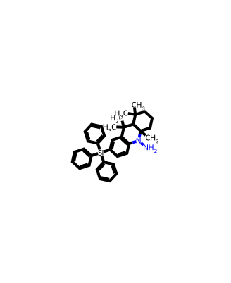 CC1(C)CCCC2(C)C1C(C)(C)c1cc([Si](c3ccccc3)(c3ccccc3)c3ccccc3)ccc1N2N